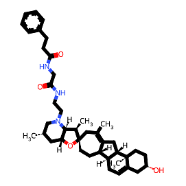 CC1=C2C[C@H]3[C@@H](CC=C4C[C@@H](O)CC[C@@]43C)[C@@H]2CC[C@@]2(C1)O[C@@H]1C[C@H](C)CN(CCNC(=O)CNC(=O)CCc3ccccc3)[C@H]1[C@H]2C